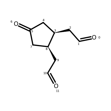 O=CC[C@@H]1CC(=O)C[C@@H]1CC=O